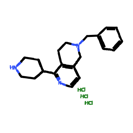 Cl.Cl.Cl.c1ccc(CN2CCc3c(ccnc3C3CCNCC3)C2)cc1